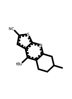 CC1CCc2c(nc3sc(C#N)cc3c2C(C)(C)C)C1